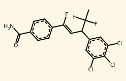 CC(F)(F)C(/C=C(\F)c1ccc(C(N)=O)cc1)c1cc(Cl)c(Cl)c(Cl)c1